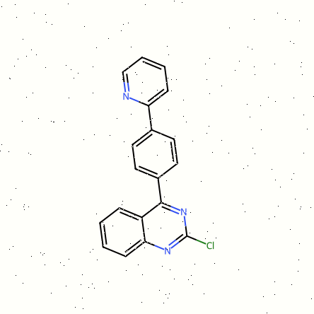 Clc1nc(-c2ccc(-c3ccccn3)cc2)c2ccccc2n1